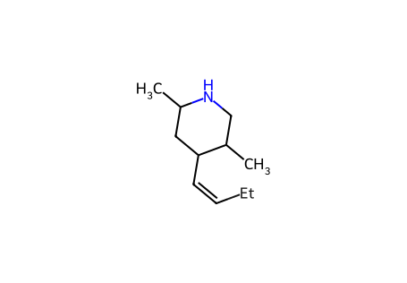 CC/C=C\C1CC(C)NCC1C